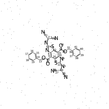 N#CC(C#N)=Nc1nc2c(C(=O)OCc3ccccc3)c3sc(N=C(C#N)C#N)nc3c(C(=O)OCc3ccccc3)c2s1